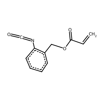 C=CC(=O)OCc1ccccc1N=C=O